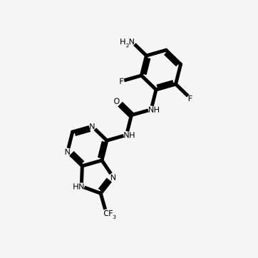 Nc1ccc(F)c(NC(=O)Nc2ncnc3[nH]c(C(F)(F)F)nc23)c1F